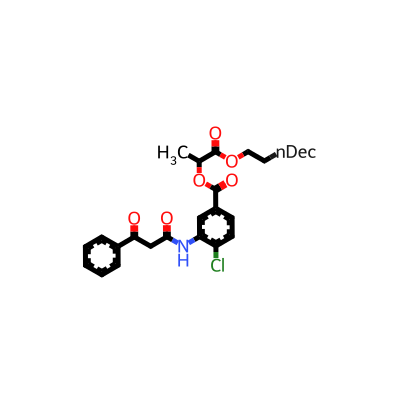 CCCCCCCCCCCCOC(=O)C(C)OC(=O)c1ccc(Cl)c(NC(=O)CC(=O)c2ccccc2)c1